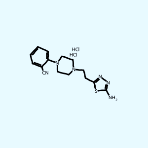 Cl.Cl.N#Cc1ccccc1N1CCN(CCc2nnc(N)s2)CC1